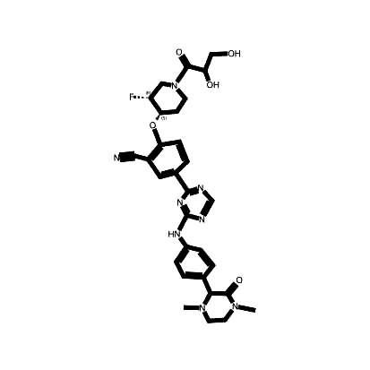 CN1CCN(C)C(c2ccc(Nc3ncnc(-c4ccc(O[C@H]5CCN(C(=O)C(O)CO)C[C@H]5F)c(C#N)c4)n3)cc2)C1=O